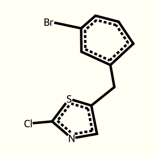 Clc1ncc(Cc2cccc(Br)c2)s1